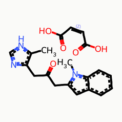 Cc1[nH]cnc1CC(=O)Cc1cc2ccccc2n1C.O=C(O)/C=C\C(=O)O